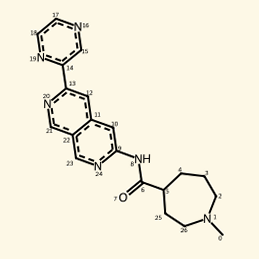 CN1CCCC(C(=O)Nc2cc3cc(-c4cnccn4)ncc3cn2)CC1